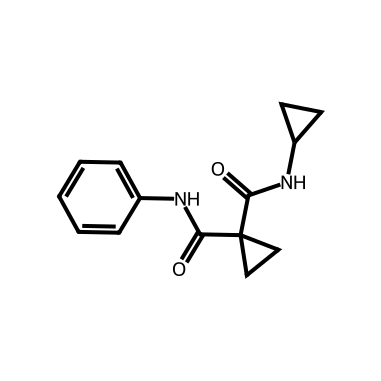 O=C(Nc1ccccc1)C1(C(=O)NC2CC2)CC1